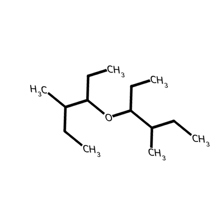 CCC(C)C(CC)OC(CC)C(C)CC